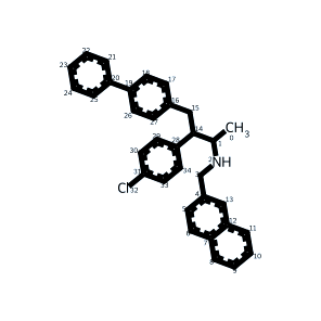 CC(NCc1ccc2ccccc2c1)C(Cc1ccc(-c2ccccc2)cc1)c1ccc(Cl)cc1